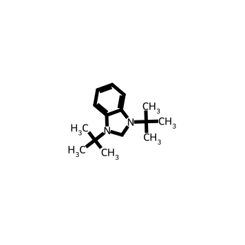 CC(C)(C)N1CN(C(C)(C)C)c2ccccc21